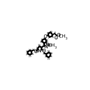 COC(=O)Cc1ccc(Oc2ccc3c(-c4ccc(OCc5ccccc5)nc4OCc4ccccc4)nn(C)c3c2)cc1